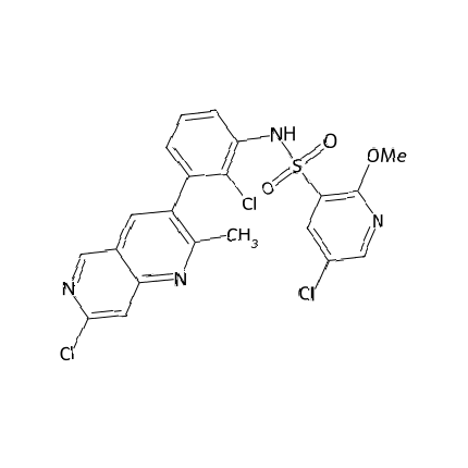 COc1ncc(Cl)cc1S(=O)(=O)Nc1cccc(-c2cc3cnc(Cl)cc3nc2C)c1Cl